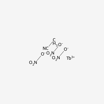 CC#N.O=[N+]([O-])[O-].O=[N+]([O-])[O-].O=[N+]([O-])[O-].[Tb+3]